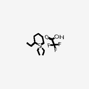 CCC1CCCC[Si]1(CC)CC.O=C(O)C(F)(F)F